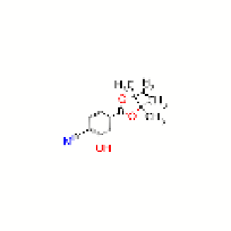 CC1(C)OB(c2ccc(C#N)c(O)c2)OC1(C)C